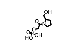 O=C(COP(=O)(O)O)N1CCCC1CO